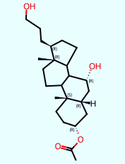 CC(=O)O[C@@H]1CC[C@]2(C)C3CC[C@@]4(C)C(CC[C@@H]4CCCO)C3[C@H](O)C[C@@H]2C1